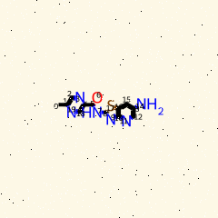 Cc1cnc(C(=O)Nc2nc3ncc(N)cc3s2)cn1